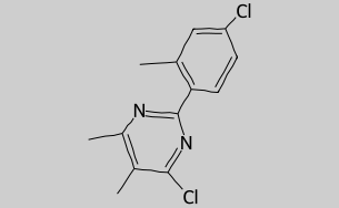 Cc1cc(Cl)ccc1-c1nc(C)c(C)c(Cl)n1